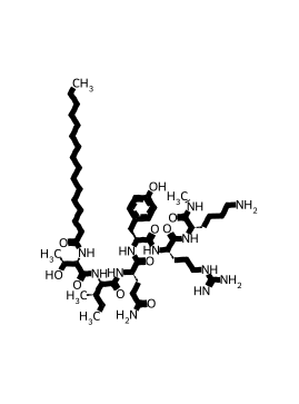 CCCCCCCCCCCCCCCC(=O)N[C@H](C(=O)N[C@H](C(=O)N[C@@H](CCC(N)=O)C(=O)N[C@@H](Cc1ccc(O)cc1)C(=O)N[C@@H](CCCNC(=N)N)C(=O)N[C@@H](CCCCN)C(=O)NC)[C@@H](C)CC)[C@@H](C)O